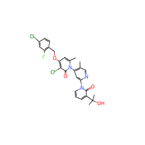 Cc1cnc(-n2cccc(C(C)(C)O)c2=O)cc1-n1c(C)cc(OCc2ccc(Cl)cc2F)c(Cl)c1=O